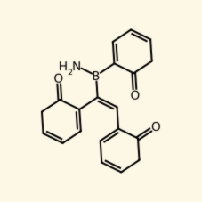 NB(C1=CC=CCC1=O)C(=CC1=CC=CCC1=O)C1=CC=CCC1=O